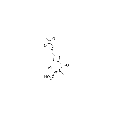 CC(C)[C@@H](C(=O)O)N(C)C(=O)C1CC(/C=C/S(C)(=O)=O)C1